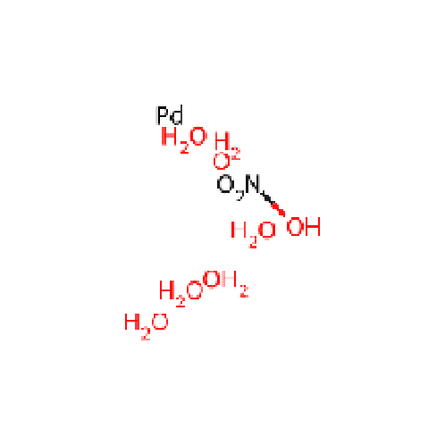 O.O.O.O.O.O.O=[N+]([O-])O.[Pd]